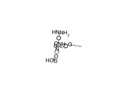 CCCCCCOc1ccc(C[C@H](NC(=O)c2ccc(C(=N)N)cc2)C(=O)N2CCC(OCC(=O)O)CC2)cc1